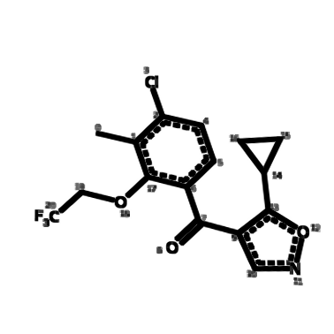 Cc1c(Cl)ccc(C(=O)c2cnoc2C2CC2)c1OCC(F)(F)F